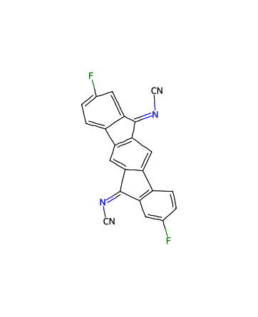 N#C/N=c1\c2cc(F)ccc2c2cc3/c(=N/C#N)c4cc(F)ccc4c3cc12